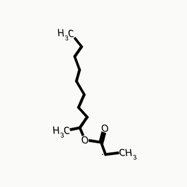 C[CH]C(=O)OC(C)CCCCCCCC